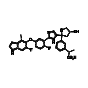 Cc1c(Oc2ccc(F)c(-c3ncc([C@]4(c5cccc(C(C)C(=O)O)c5)C[C@H](O)CO4)[nH]3)c2)c(F)cc2[nH]ccc12